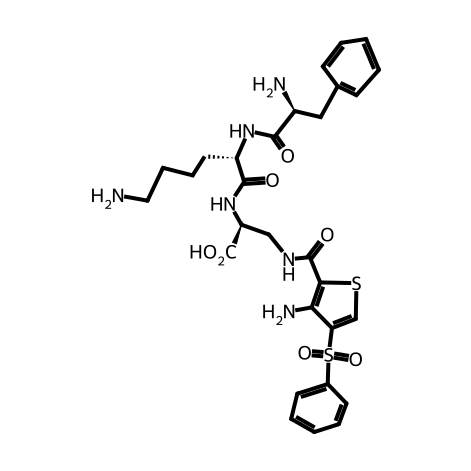 NCCCC[C@H](NC(=O)[C@@H](N)Cc1ccccc1)C(=O)N[C@@H](CNC(=O)c1scc(S(=O)(=O)c2ccccc2)c1N)C(=O)O